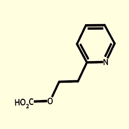 O=C(O)OCCc1ccccn1